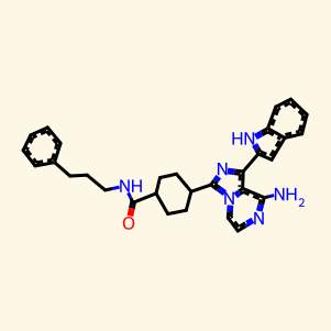 Nc1nccn2c(C3CCC(C(=O)NCCCc4ccccc4)CC3)nc(-c3cc4ccccc4[nH]3)c12